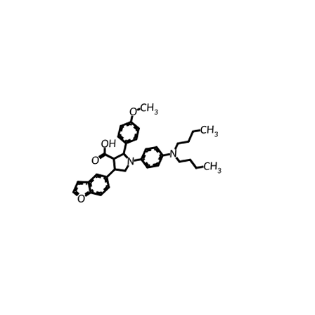 CCCCN(CCCC)c1ccc(N2CC(c3ccc4occc4c3)C(C(=O)O)C2c2ccc(OC)cc2)cc1